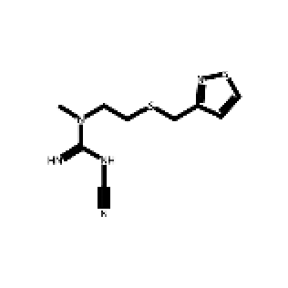 CN(CCSCc1ccsn1)C(=N)NC#N